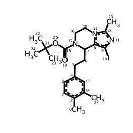 Cc1ccc(CCC2c3c(I)nc(C)n3CCN2C(=O)OC(C)(C)C)cc1C